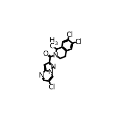 CC1c2cc(Cl)c(Cl)cc2CCN1C(=O)c1cc2ncc(Cl)cn2n1